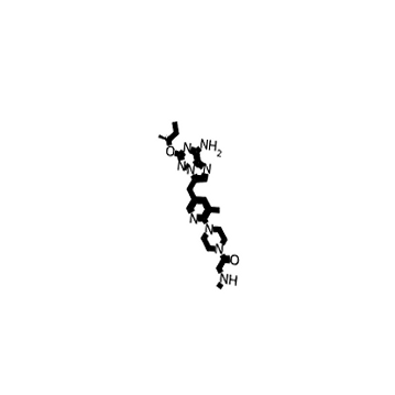 CC[C@H](C)Oc1nc(N)c2ncc(Cc3cnc(N4CCN(C(=O)CNC)CC4)c(C)c3)n2n1